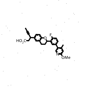 CC#CC(CC(=O)O)c1ccc2c(c1)CCC(c1cc(-c3cnc(OC)cc3C)ccc1F)O2